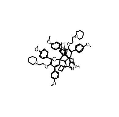 COc1ccc(C2=CC(C(=O)C3(c4c[nH]nc4C4CCC4)C=C(c4ccc(OC)cc4)C(OCCN4CCCCC4)=C(c4ccc(OC)cc4)C3)(c3c[nH]nc3C3CCC3)CC(c3ccc(OC)cc3)=C2OCCN2CCCCC2)cc1